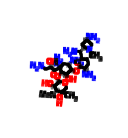 CN[C@@H]1[C@@H](O)[C@@H](O[C@@H]2[C@@H](O)[C@H](O[C@H]3OC(C(N)[C@@H]4C[C@H](N)CN4C)=CC[C@H]3N)[C@@H](N)C[C@]2(N)C(=O)[C@@H](O)CN)OC[C@]1(C)O